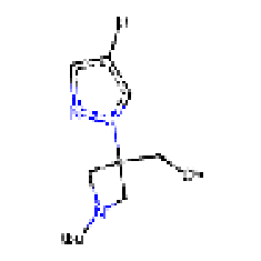 CCc1cnn(C2(CC#N)CN(C(C)(C)C)C2)c1